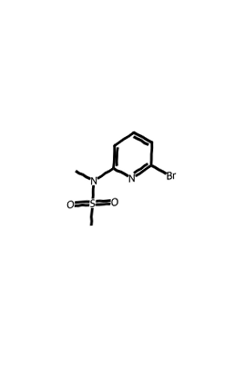 CN(c1cccc(Br)n1)S(C)(=O)=O